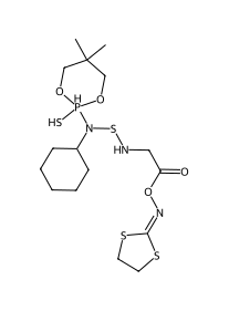 CC1(C)CO[PH](S)(N(SNCC(=O)ON=C2SCCS2)C2CCCCC2)OC1